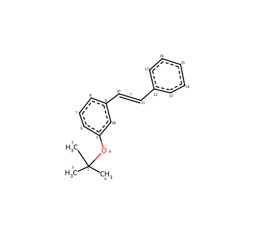 CC(C)(C)Oc1cccc(/C=C/c2ccccc2)c1